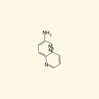 NC1=CC=C2N=CC=CC23N=CN=C13